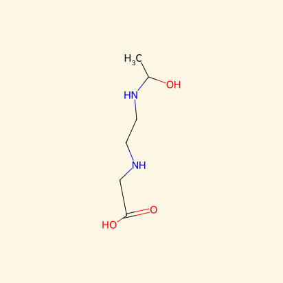 CC(O)NCCNCC(=O)O